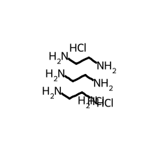 Cl.Cl.Cl.NCCN.NCCN.NCCN